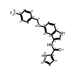 O=C(Nc1c[nH]c2ccc(OCc3ccc(C(F)(F)F)cc3)cc12)c1ccn[nH]1